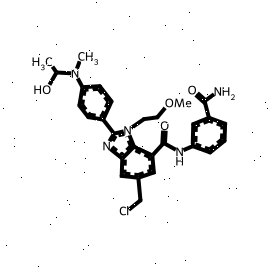 COCCn1c(-c2ccc(N(C)C(C)O)cc2)nc2cc(CCl)cc(C(=O)Nc3cccc(C(N)=O)c3)c21